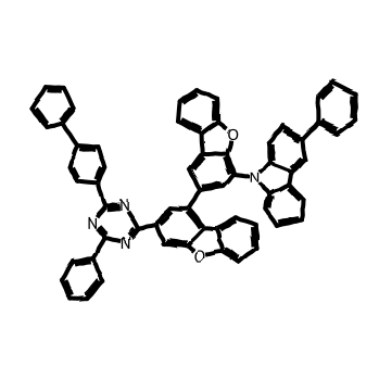 c1ccc(-c2ccc(-c3nc(-c4ccccc4)nc(-c4cc(-c5cc(-n6c7ccccc7c7cc(-c8ccccc8)ccc76)c6oc7ccccc7c6c5)c5c(c4)oc4ccccc45)n3)cc2)cc1